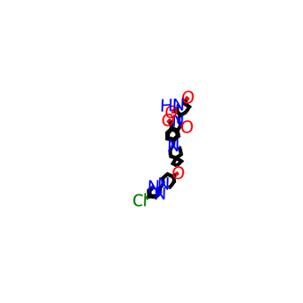 O=C1CCC(N2C(=O)c3ccc(N4CCC5(CC4)CC(OC4CCN(c6ncc(Cl)cn6)CC4)C5)cc3C2=O)C(=O)N1